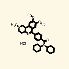 CCOc1cc2c(cc1OCC)C1CN(C)CCC1N=C2c1ccc(C(=O)N(C2CCCCC2)C2CCCCC2)cc1.Cl